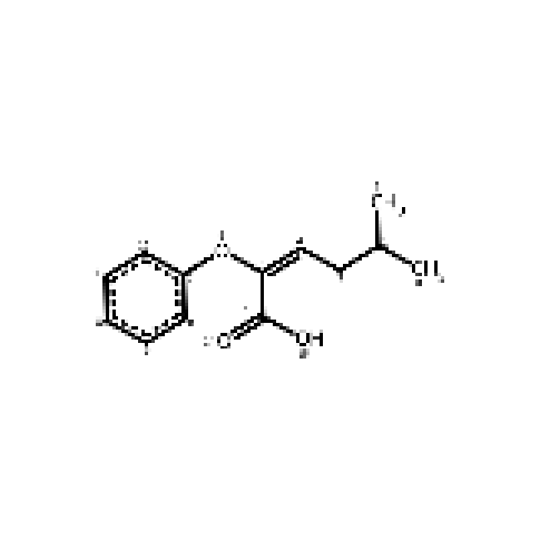 CC(C)CC=C(Oc1ccccc1)C(=O)O